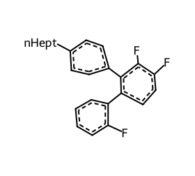 CCCCCCCc1ccc(-c2c(-c3ccccc3F)ccc(F)c2F)cc1